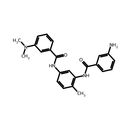 Cc1ccc(NC(=O)c2cccc(N(C)C)c2)cc1NC(=O)c1cccc(N)c1